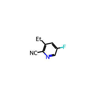 CCc1cc(F)cnc1C#N